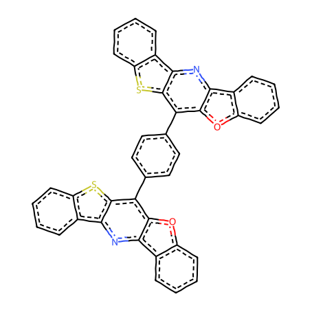 c1ccc2c(c1)oc1c(-c3ccc(-c4c5oc6ccccc6c5nc5c4sc4ccccc45)cc3)c3sc4ccccc4c3nc12